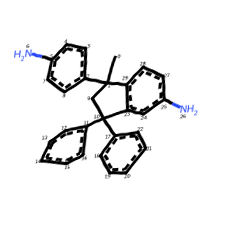 CC1(c2ccc(N)cc2)CC(c2ccccc2)(c2ccccc2)c2cc(N)ccc21